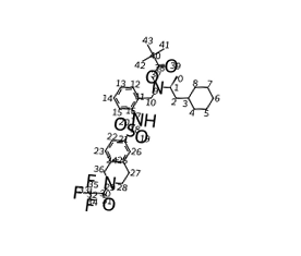 C[C@@H](CC1CCCCC1)N(Cc1ccccc1NS(=O)(=O)c1ccc2c(c1)CCN(C(=O)C(F)(F)F)C2)OC(=O)C(C)(C)C